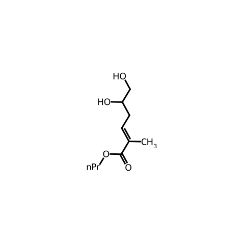 CCCOC(=O)C(C)=CCC(O)CO